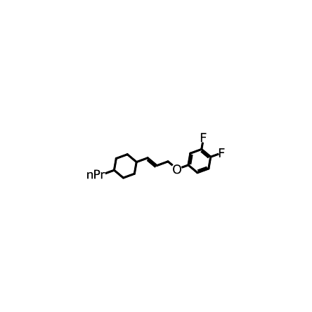 CCCC1CCC(C=CCOc2ccc(F)c(F)c2)CC1